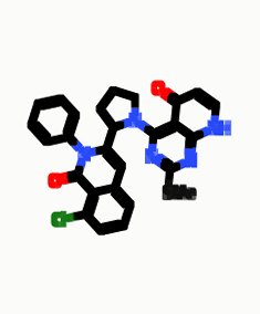 CSc1nc(N2CCCC2c2cc3cccc(Cl)c3c(=O)n2-c2ccccc2)c2c(=O)cc[nH]c2n1